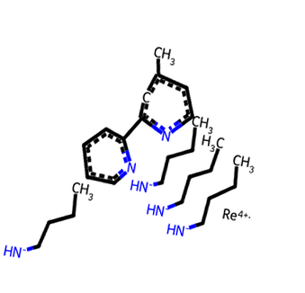 CCCC[NH-].CCCC[NH-].CCCC[NH-].CCCC[NH-].Cc1ccnc(-c2ccccn2)c1.[Re+4]